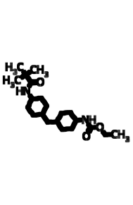 CCOC(=O)NC1CCC(CC2CCC(NC(=O)C(C)(C)C)CC2)CC1